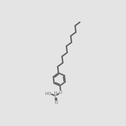 CCCCCCCCCCc1ccc(O[PH](=O)O)cc1